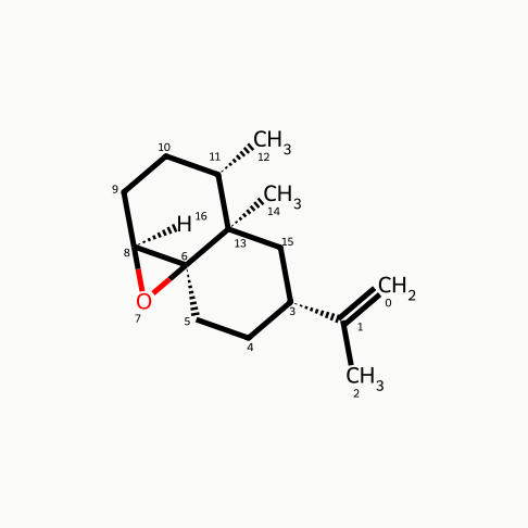 C=C(C)[C@@H]1CC[C@]23O[C@H]2CC[C@H](C)[C@@]3(C)C1